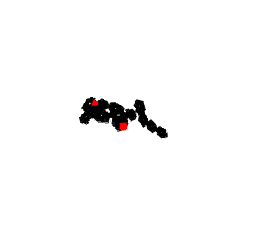 c1ccc(-c2ccc(-c3ccc4c(c3)c3ccccc3n4-c3ccc(-c4c5ccccc5c(-c5ccc6c(c5)C(c5ccccc5)(c5ccccc5)c5ccccc5-6)c5ccccc45)cc3)cc2)cc1